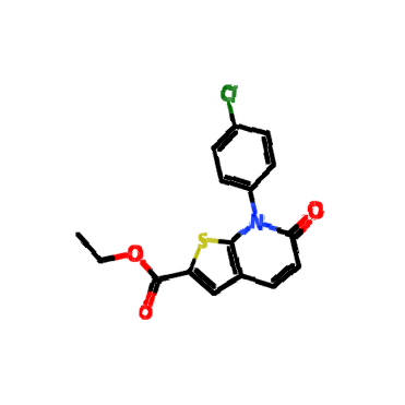 CCOC(=O)c1cc2ccc(=O)n(-c3ccc(Cl)cc3)c2s1